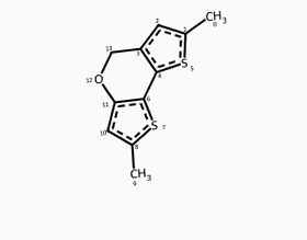 Cc1cc2c(s1)-c1sc(C)cc1OC2